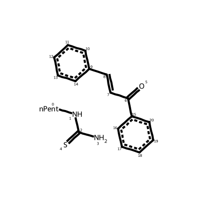 CCCCCNC(N)=S.O=C(C=Cc1ccccc1)c1ccccc1